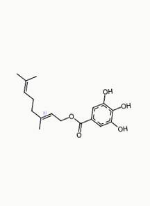 CC(C)=CCC/C(C)=C/COC(=O)c1cc(O)c(O)c(O)c1